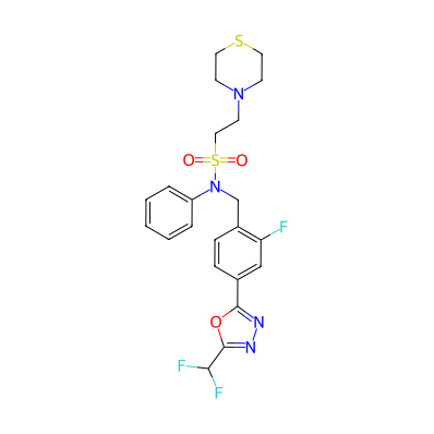 O=S(=O)(CCN1CCSCC1)N(Cc1ccc(-c2nnc(C(F)F)o2)cc1F)c1ccccc1